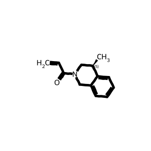 C=CC(=O)N1Cc2ccccc2[C@H](C)C1